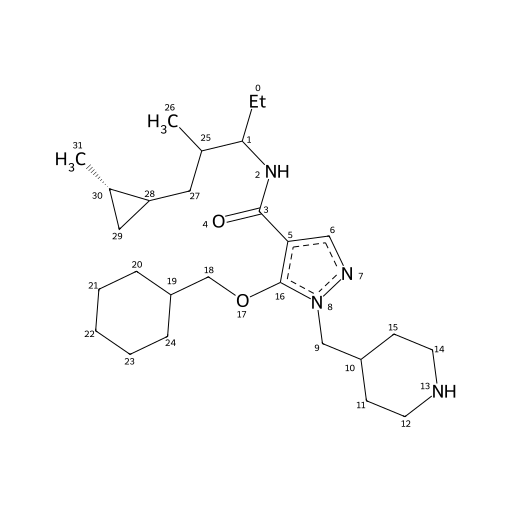 CCC(NC(=O)c1cnn(CC2CCNCC2)c1OCC1CCCCC1)C(C)CC1C[C@@H]1C